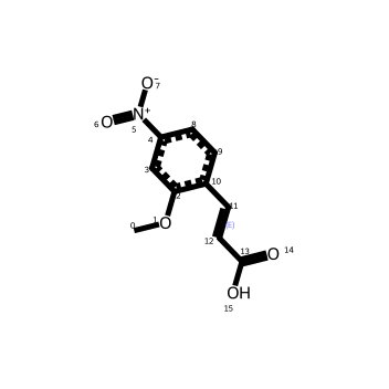 COc1cc([N+](=O)[O-])ccc1/C=C/C(=O)O